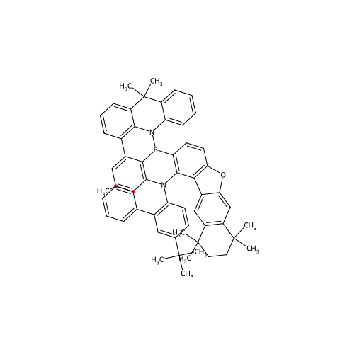 Cc1cc2c3c(c1)N(c1ccc(C(C)(C)C)cc1-c1ccccc1)c1c(ccc4oc5cc6c(cc5c14)C(C)(C)CCC6(C)C)B3N1c3ccccc3C(C)(C)c3cccc-2c31